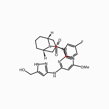 COc1cc(Nc2cc(CO)[nH]n2)nc(NC2C[C@H]3CCC[C@@H](C2)N3S(=O)(=O)c2cncc(F)c2)n1